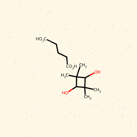 CC1(C)C(O)C(C)(C)C1O.O=C(O)CCCC(=O)O